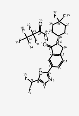 O=C1c2cc(-c3nnc(C(F)F)o3)ccc2CN1[C@@H]1CCC(F)(F)C[C@H]1NC(=O)C(F)(F)C(F)(F)F